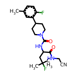 Cc1ccc(F)c(C2CCN(C(=O)NC(CC(C)(C)F)C(=O)NCC#N)CC2)c1